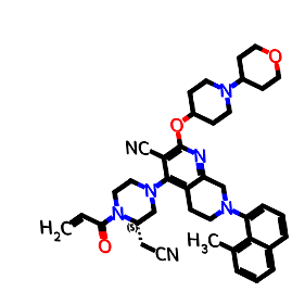 C=CC(=O)N1CCN(c2c(C#N)c(OC3CCN(C4CCOCC4)CC3)nc3c2CCN(c2cccc4cccc(C)c24)C3)C[C@@H]1CC#N